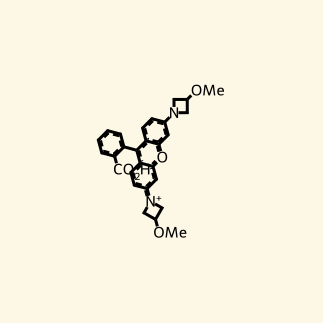 COC1CN(c2ccc3c(-c4ccccc4C(=O)O)c4ccc(=[N+]5CC(OC)C5)cc-4oc3c2)C1